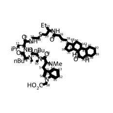 CCCC[C@@H](C(=O)N(C)[C@@H](CCCC)C(=O)N[C@@H](CC(C)C)C(=O)NCCSCC(CC)NC(=O)CCC[C@H]1CCC2[C@@H]3C(=O)C[C@@H]4CCCC[C@]4(C)C3CC[C@@]21C)N(C)C(=O)[C@H](Cc1cn(CC(=O)O)c2ccccc12)NC